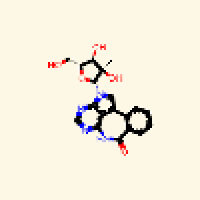 C[C@@]1(O)[C@H](O)[C@@H](CO)O[C@H]1n1cc2c3c(ncnc31)NC(=O)c1ccccc1-2